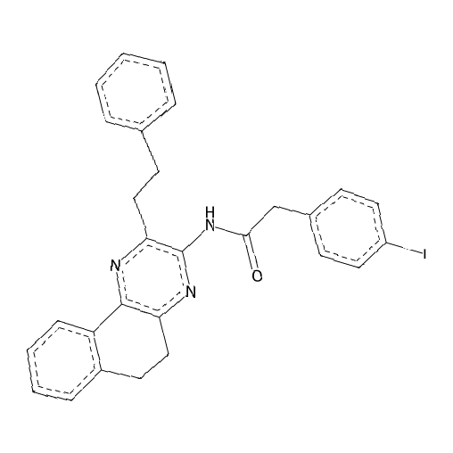 O=C(Cc1ccc(I)cc1)Nc1nc2c(nc1CCc1ccccc1)-c1ccccc1CC2